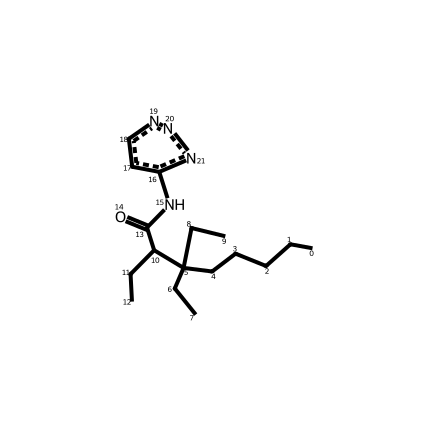 CCCCCC(CC)(CC)C(CC)C(=O)Nc1ccnnn1